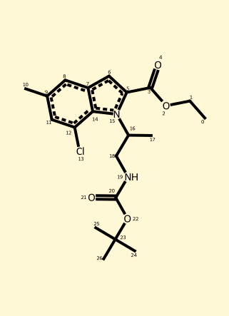 CCOC(=O)c1cc2cc(C)cc(Cl)c2n1C(C)CNC(=O)OC(C)(C)C